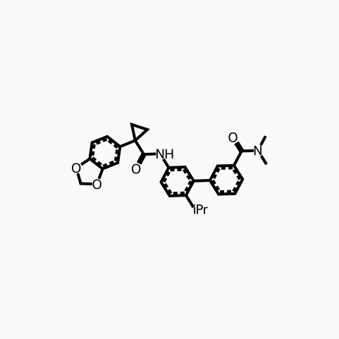 CC(C)c1ccc(NC(=O)C2(c3ccc4c(c3)OCO4)CC2)cc1-c1cccc(C(=O)N(C)C)c1